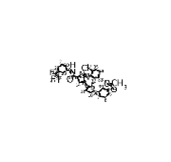 CS(=O)(=O)c1cccc(-c2ccc(-c3cc(C(=O)Nc4cccc(C(F)(F)F)c4)nn3-c3ccccc3Cl)s2)c1